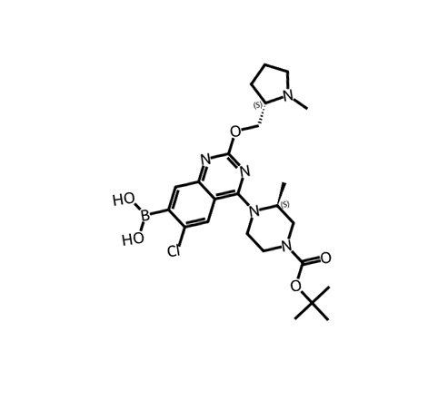 C[C@H]1CN(C(=O)OC(C)(C)C)CCN1c1nc(OC[C@@H]2CCCN2C)nc2cc(B(O)O)c(Cl)cc12